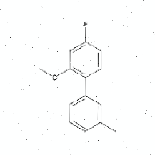 COc1cc(F)ccc1-c1cc[c]c(C)c1